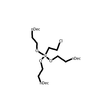 CCCCCCCCCCCCO[Si](CCCl)(OCCCCCCCCCCCC)OCCCCCCCCCCCC